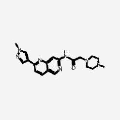 CN1CCN(CC(=O)Nc2cc3nc(-c4cnn(C)c4)ccc3cn2)CC1